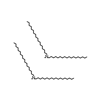 CCCCCCCCCCCCCCCCCCN(C)CCCCCCCCCCCCCCCCCC.CCCCCCCCCCCCCCCCCCN(C)CCCCCCCCCCCCCCCCCC